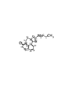 CCCCNc1nc2c(s1)CCN1C(=O)CSc3cccc-2c31